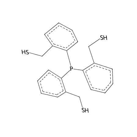 SCc1ccccc1P(c1ccccc1CS)c1ccccc1CS